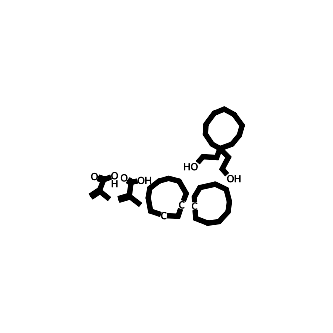 C1CCCCCCCCC1.C1CCCCCCCCC1.C=C(C)C(=O)O.C=C(C)C(=O)O.OCCC1(CCO)CCCCCCCCC1